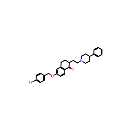 CC(C)c1ccc(COc2ccc3c(c2)CCC(CCN2CCC(c4ccccc4)CC2)C3=O)cc1